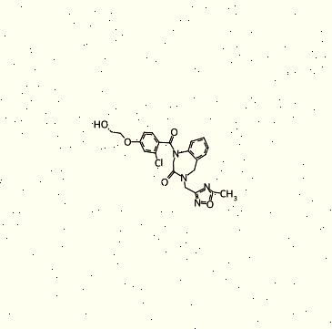 Cc1nc(CN2Cc3ccccc3N(C(=O)c3ccc(OCCO)cc3Cl)CC2=O)no1